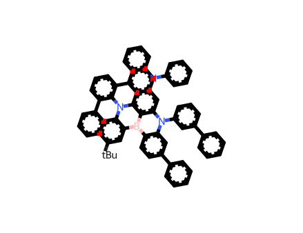 CC(C)(C)c1ccc2c(c1)B1c3ccc(-c4ccccc4)cc3N(c3cccc(-c4ccccc4)c3)c3cc(N(c4ccccc4)c4ccccc4)cc(c31)N2c1c(-c2ccccc2)cccc1-c1ccccc1